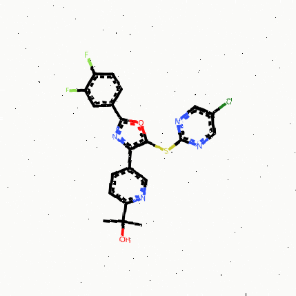 CC(C)(O)c1ccc(-c2nc(-c3ccc(F)c(F)c3)oc2Sc2ncc(Cl)cn2)cn1